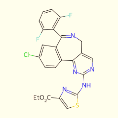 CCOC(=O)c1csc(Nc2ncc3c(n2)-c2ccc(Cl)cc2C(c2c(F)cccc2F)=NC3)n1